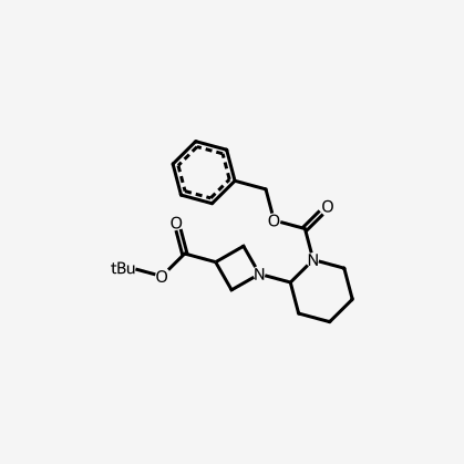 CC(C)(C)OC(=O)C1CN(C2CCCCN2C(=O)OCc2ccccc2)C1